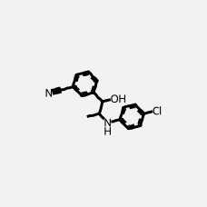 CC(Nc1ccc(Cl)cc1)C(O)c1cccc(C#N)c1